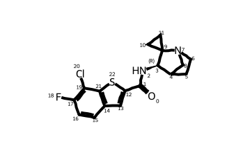 O=C(N[C@@H]1C2CCN(C2)C12CC2)c1cc2ccc(F)c(Cl)c2s1